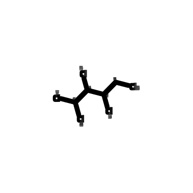 ClCC(Cl)C(Cl)C(Cl)Cl